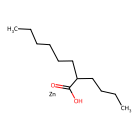 CCCCCCC(CCCC)C(=O)O.[Zn]